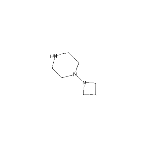 [CH]1CN(N2CCNCC2)C1